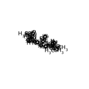 COC(=O)NC(C(=O)N1[C@H](c2nc3cc([C@H]4CC[C@H](c5ccc6[nH]c([C@@H]7C[C@@H]8CCC[C@@H]8N7C(=O)[C@@H](NC(=O)OC)C7CCOCC7)nc6c5)N4c4cc(F)c(N5CCCCC5)c(F)c4)ccc3[nH]2)C[C@@H]2CCC[C@@H]21)C(C)C